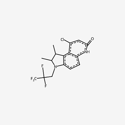 CC1c2c(ccc3[nH]c(=O)cc(Cl)c23)N(CC(F)(F)C(F)(F)F)C1C